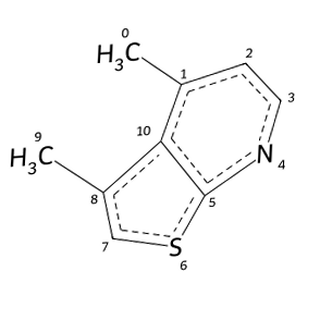 Cc1ccnc2scc(C)c12